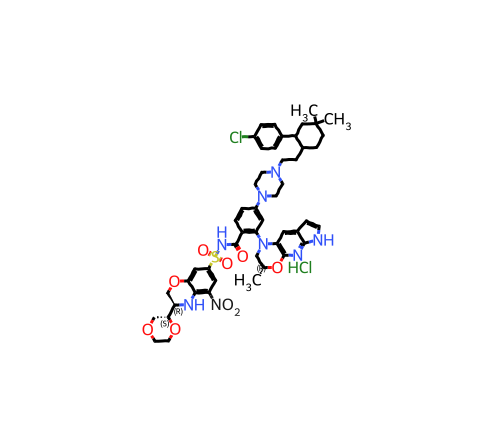 C[C@@H]1CN(c2cc(N3CCN(CCC4CCC(C)(C)CC4c4ccc(Cl)cc4)CC3)ccc2C(=O)NS(=O)(=O)c2cc3c(c([N+](=O)[O-])c2)N[C@@H]([C@H]2COCCO2)CO3)c2cc3cc[nH]c3nc2O1.Cl